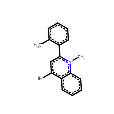 Cc1ccccc1-c1cc(C(C)C)c2ccccc2[n+]1C